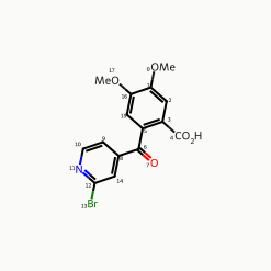 COc1cc(C(=O)O)c(C(=O)c2ccnc(Br)c2)cc1OC